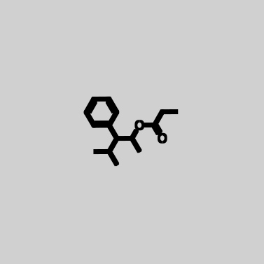 CCC(=O)OC(C)C(c1ccccc1)C(C)C